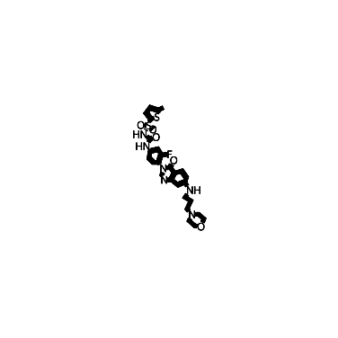 Cc1ccc(S(=O)(=O)NC(=O)Nc2ccc(-n3cnc4cc(NCCCN5CCOCC5)ccc4c3=O)c(F)c2)s1